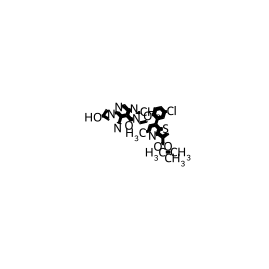 Cc1cc(-c2cc(Cl)ccc2OCCn2c(C)nc3cnc(N4CC(O)C4)c(C#N)c3c2=O)c2scc(C(=O)OC(C)(C)C)c2n1